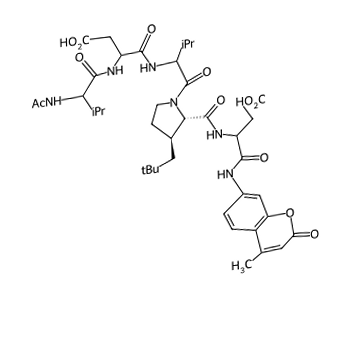 CC(=O)NC(C(=O)NC(CC(=O)O)C(=O)NC(C(=O)N1CC[C@H](CC(C)(C)C)[C@H]1C(=O)NC(CC(=O)O)C(=O)Nc1ccc2c(C)cc(=O)oc2c1)C(C)C)C(C)C